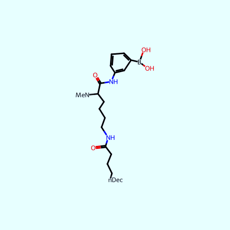 CCCCCCCCCCCCCC(=O)NCCCCC(NC)C(=O)Nc1cccc(B(O)O)c1